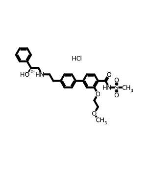 COCCOc1cc(-c2ccc(CCNC[C@@H](O)c3ccccc3)cc2)ccc1C(=O)NS(C)(=O)=O.Cl